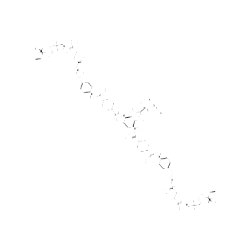 C=CC(=O)OCC(C)(C)COC(=O)CCC(=O)COCc1ccc(OC(=O)C2CCC(C(=O)Oc3ccc(OC(=O)C4CCC(C(=O)Oc5ccc(CCOC(=O)CCC(=O)OCC(C)(C)COC(=O)C=C)cc5)CC4)c4c3SC(=C(C#N)C#N)S4)CC2)cc1